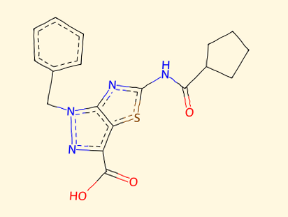 O=C(O)c1nn(Cc2ccccc2)c2nc(NC(=O)C3CCCC3)sc12